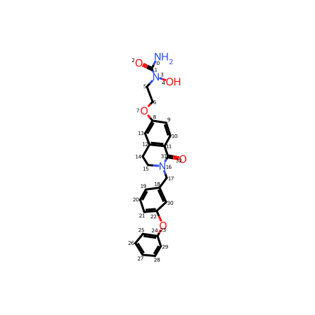 NC(=O)N(O)CCOc1ccc2c(c1)CCN(Cc1cccc(Oc3ccccc3)c1)C2=O